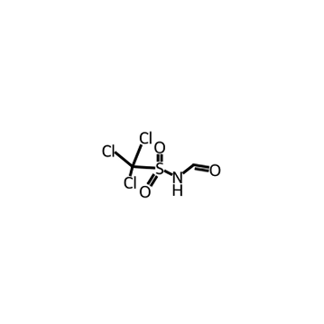 O=CNS(=O)(=O)C(Cl)(Cl)Cl